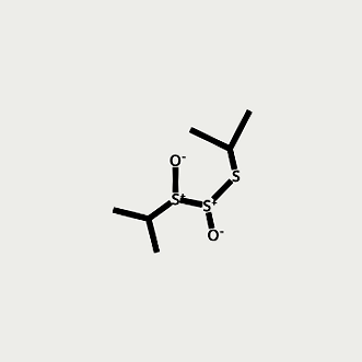 CC(C)S[S+]([O-])[S+]([O-])C(C)C